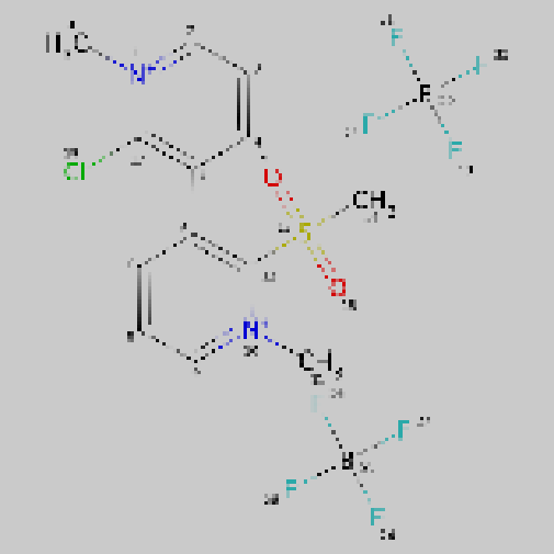 C[n+]1cccc(-c2ccc[n+](C)c2S(C)(=O)=O)c1Cl.F[B-](F)(F)F.F[B-](F)(F)F